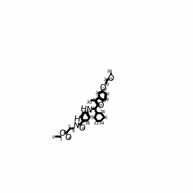 CCOC(=O)CCNC(=O)c1ccc(NC(c2oc3ccc(OCCOC)cc3c2C)C2CCCCC2)cc1